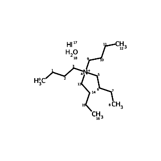 CCCC[N+](CCCC)(CCCC)CCCC.I.O